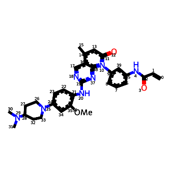 C=CC(=O)Nc1cccc(-n2c(=O)cc(C)c3cnc(Nc4ccc(N5CCC(N(C)C)CC5)cc4OC)nc32)c1